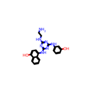 NCCNc1nc(Nc2cccc(O)c2)nc(Nc2ccc(O)c3ccccc23)n1